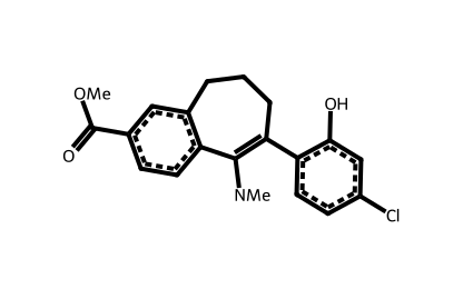 CNC1=C(c2ccc(Cl)cc2O)CCCc2cc(C(=O)OC)ccc21